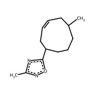 Cc1noc(C2C/C=C\CC(C)CCC2)n1